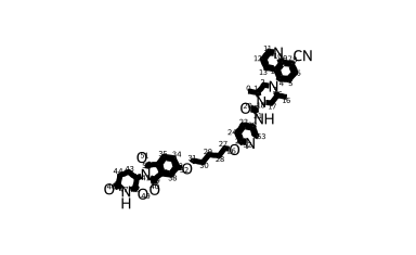 CC1CN(c2ccc(C#N)c3ncccc23)C(C)CN1C(=O)Nc1ccc(OCCCCCOc2ccc3c(c2)C(=O)N(C2CCC(=O)NC2=O)C3=O)nc1